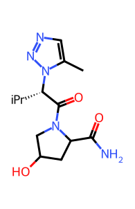 Cc1cnnn1[C@H](C(=O)N1CC(O)CC1C(N)=O)C(C)C